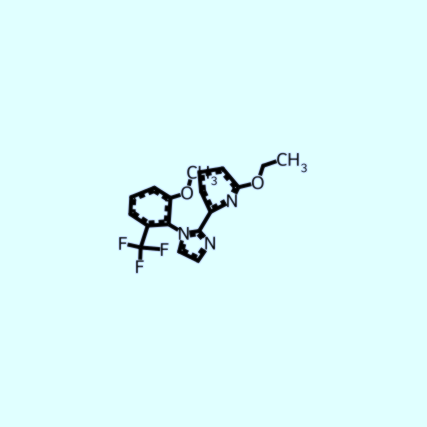 CCOc1cccc(-c2nccn2-c2c(OC)cccc2C(F)(F)F)n1